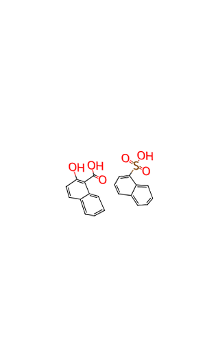 O=C(O)c1c(O)ccc2ccccc12.O=S(=O)(O)c1cccc2ccccc12